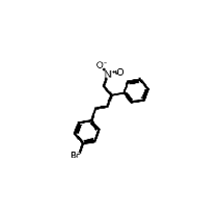 O=[N+]([O-])CC(CCc1ccc(Br)cc1)c1ccccc1